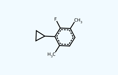 Cc1ccc(C)c(C2CC2)c1F